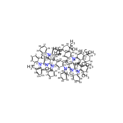 Cc1ccccc1N(c1cc2c3c(n1)N(c1ccccc1)c1cc4c(cc1B3c1ccccc1N2c1ccccc1)B1c2cc3c(cc2N(c2ccc5c(c2)C(C)(C)CCC5(C)C)c2cc(N(c5ccccc5C)c5c(C)cccc5C)nc(c21)N4c1ccccc1)C(C)(C)CCC3(C)C)c1c(C)cccc1C